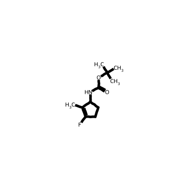 CC1=C(F)CCC1NC(=O)OC(C)(C)C